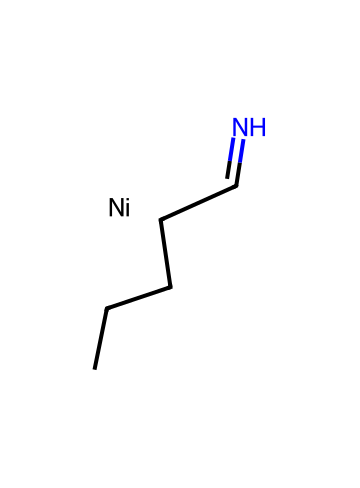 CCCCC=N.[Ni]